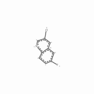 Fc1c[c]c2ncc(Cl)cc2c1